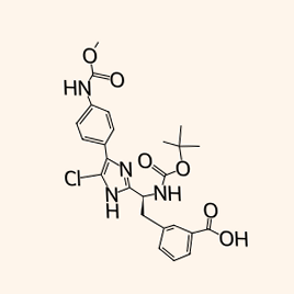 COC(=O)Nc1ccc(-c2nc([C@H](Cc3cccc(C(=O)O)c3)NC(=O)OC(C)(C)C)[nH]c2Cl)cc1